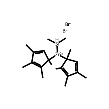 CC1=C[C](C)([Zr+2]([SiH](C)C)[C]2(C)C=C(C)C(C)=C2C)C(C)=C1C.[Br-].[Br-]